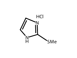 CSc1ncc[nH]1.Cl